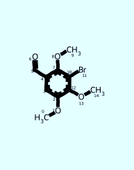 COc1cc(C=O)c(OC)c(Br)c1OC